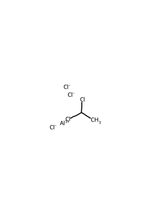 CC(Cl)Cl.[Al+3].[Cl-].[Cl-].[Cl-]